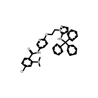 CN(C)c1cc(Cl)ccc1C(=O)Nc1ccc(OCCn2nccc2NC(c2ccccc2)(c2ccccc2)c2ccccc2)nc1